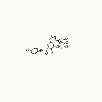 CCS(=O)(=O)C1(COc2nncc3cc(C(=O)NCc4ccc(Cl)cc4)c(=O)n(C)c23)CC1